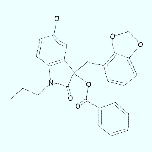 CCCN1C(=O)C(Cc2cccc3c2OCO3)(OC(=O)c2ccccc2)c2cc(Cl)ccc21